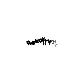 CCN(CC)CCCNC(=O)c1ccc2c(c1)sc1nc(-c3ccc(CN4CCCCC4)cc3)cn12